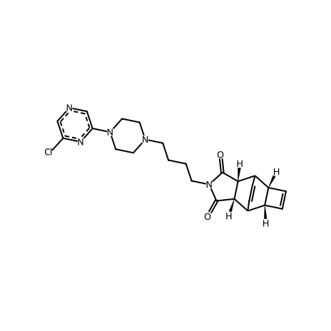 O=C1[C@@H]2C3C=CC([C@H]4C=C[C@@H]34)[C@@H]2C(=O)N1CCCCN1CCN(c2cncc(Cl)n2)CC1